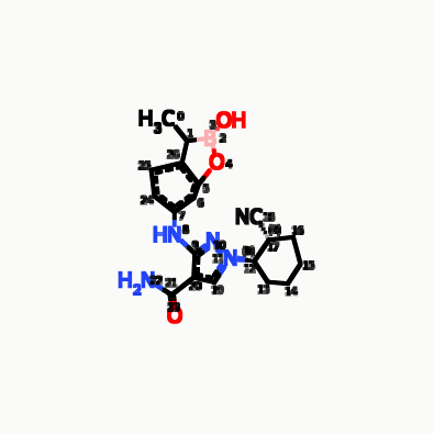 CC1B(O)Oc2cc(Nc3nn([C@@H]4CCCC[C@H]4C#N)cc3C(N)=O)ccc21